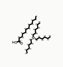 CCCCCCCCCCCC(=O)O.CCCCC[CH2][Sn]([CH2]CCCCC)[CH2]CCCCC